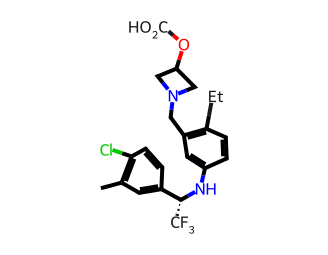 CCc1ccc(N[C@@H](c2ccc(Cl)c(C)c2)C(F)(F)F)cc1CN1CC(OC(=O)O)C1